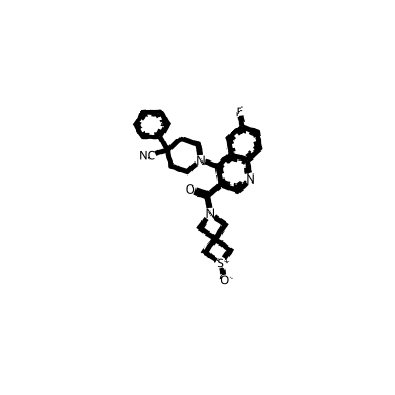 N#CC1(c2ccccc2)CCN(c2c(C(=O)N3CC4(C3)C[S+]([O-])C4)cnc3ccc(F)cc23)CC1